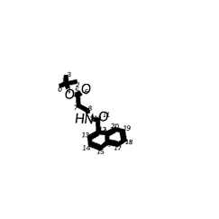 CC(C)(C)OC(=O)CCNC(=O)c1cccc2ccccc12